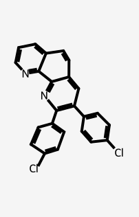 Clc1ccc(-c2cc3ccc4cccnc4c3nc2-c2ccc(Cl)cc2)cc1